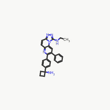 CCNc1nnc2ccc3nc(-c4ccc(C5(N)CCC5)cc4)c(-c4ccccc4)cc3n12